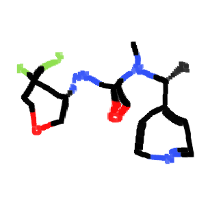 CC[C@H](c1ccncc1)N(C)C(=O)N[C@@H]1COCC1(F)F